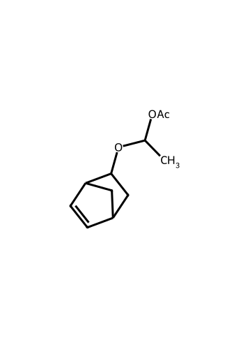 CC(=O)OC(C)OC1CC2C=CC1C2